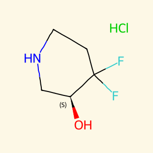 Cl.O[C@H]1CNCCC1(F)F